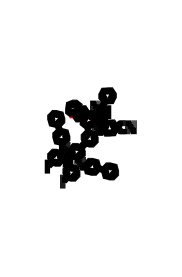 N#Cc1ccc(-n2c3ccc(-c4ccccc4)cc3c3cc(-c4cc5c6c(c4)N(c4ccc(-c7ccccc7)cc4)c4ccc(I)cc4B6c4cc(I)ccc4N5c4ccc(-c5ccccc5)cc4)ccc32)c(-c2nc(-c3ccccc3)nc(-c3ccccc3)n2)c1